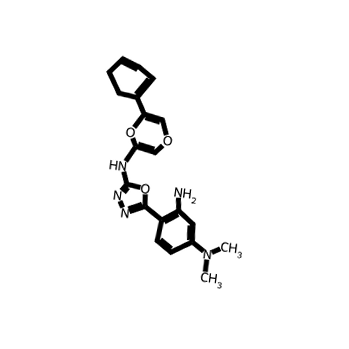 CN(C)c1ccc(-c2nnc(NC3=COC=C(C4=CC=CCC4)O3)o2)c(N)c1